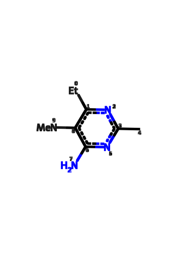 CCc1nc(C)nc(N)c1NC